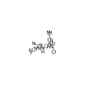 Cn1cc(-c2ccc(N(C(=O)NCc3ccccc3)C3CCC(Nc4ncc(C#N)c(N5CCC(F)(F)CC5)n4)CC3)nc2)cn1